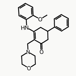 COc1ccccc1NC1=C(CN2CCOCC2)C(=O)CC(c2ccccc2)C1